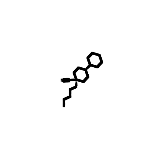 CCCCC[C@]1(C#N)CC[C@@H](C2CCCCC2)CC1